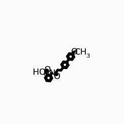 COc1ccc(-c2ccc(CCC(=O)Nc3ccccc3C(=O)O)cc2)cc1